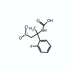 CC(C[S+]([O-])Cl)(NC(=O)O)c1ccccc1F